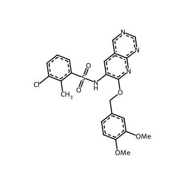 COc1ccc(COc2nc3ncncc3cc2NS(=O)(=O)c2cccc(Cl)c2C)cc1OC